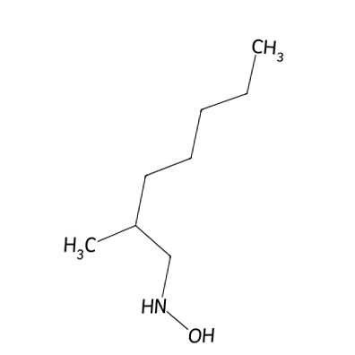 CCCCCC(C)CNO